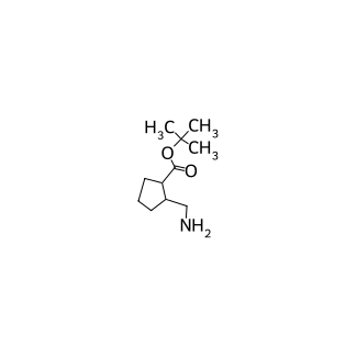 CC(C)(C)OC(=O)C1CCCC1CN